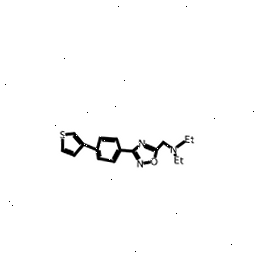 CCN(CC)Cc1nc(-c2ccc(-c3ccsc3)cc2)no1